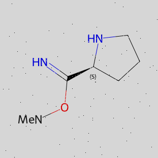 CNOC(=N)[C@@H]1CCCN1